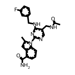 CC(=O)NCc1cnc(-n2c(C)cc3c(C(N)=O)cccc32)nc1NCc1cccc(F)c1